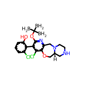 BC(B)(B)Oc1nc2c(c(Cl)c1-c1c(O)cccc1Cl)OC[C@H]1CNCCN1C2